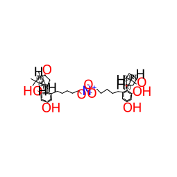 CC1(C)[C@H]2C[C@H]1[C@H](c1c(O)cc(O)cc1CCCCCO[N+](=O)OCCCCCc1cc(O)cc(O)c1[C@@H]1CC(=O)[C@@H]3C[C@@H]1C3(C)C)CC2=O